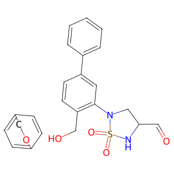 O=CC1CN(c2cc(-c3ccccc3)ccc2CO)S(=O)(=O)N1.c1cc2ccc1CO2